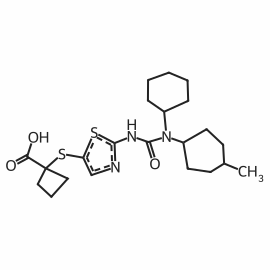 CC1CCC(N(C(=O)Nc2ncc(SC3(C(=O)O)CCC3)s2)C2CCCCC2)CC1